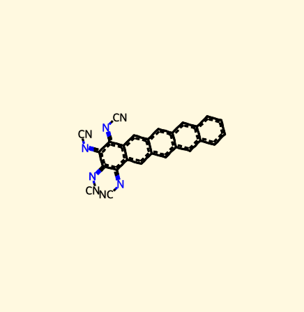 N#CN=c1c(=NC#N)c(=NC#N)c2cc3cc4cc5ccccc5cc4cc3cc2c1=NC#N